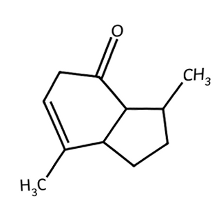 CC1=CCC(=O)C2C(C)CCC12